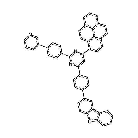 c1cncc(-c2ccc(-c3nc(-c4ccc(-c5ccc6oc7ccccc7c6c5)cc4)cc(-c4ccc5ccc6cccc7ccc4c5c67)n3)cc2)c1